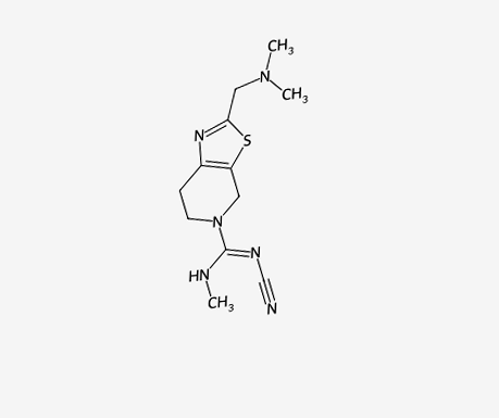 CNC(=NC#N)N1CCc2nc(CN(C)C)sc2C1